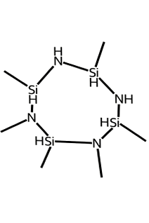 CN1[SiH](C)N[SiH](C)N[SiH](C)N(C)[SiH]1C